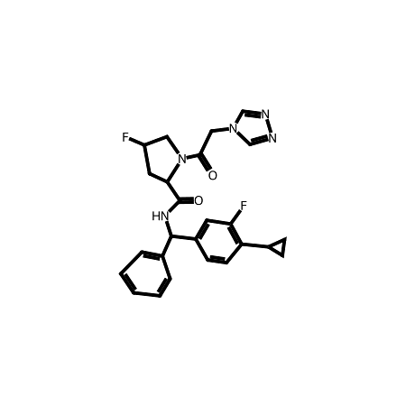 O=C(NC(c1ccccc1)c1ccc(C2CC2)c(F)c1)C1CC(F)CN1C(=O)Cn1cnnc1